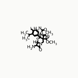 COC(=O)C1(COC(N)=O)CN2C(=O)C(N)[C@H]2SC1(NC(C)=O)c1ccc(I)c(C(C)C)c1